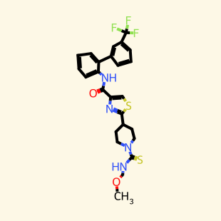 COCNC(=S)N1CCC(c2nc(C(=O)Nc3ccccc3-c3cccc(C(F)(F)F)c3)cs2)CC1